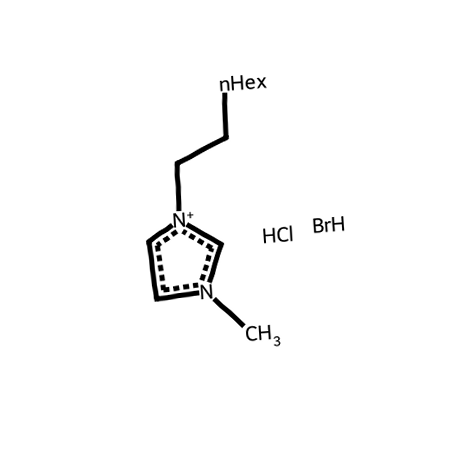 Br.CCCCCCCC[n+]1ccn(C)c1.Cl